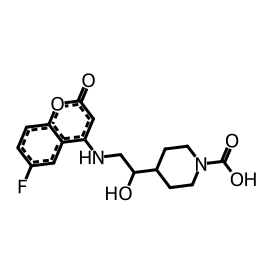 O=C(O)N1CCC(C(O)CNc2cc(=O)oc3ccc(F)cc23)CC1